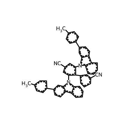 Cc1ccc(-c2ccc3c4ccccc4n(-c4cc(C#N)cc(-n5c6ccccc6c6ccc(-c7ccc(C)cc7)cc65)c4-c4cccc(C#N)c4)c3c2)cc1